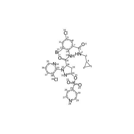 O=C(NCC1CC1)c1cc(Cl)cc(Br)c1NC(=O)C1CC(OS(=O)(=O)c2ccncc2)=NN1c1ncccc1Cl